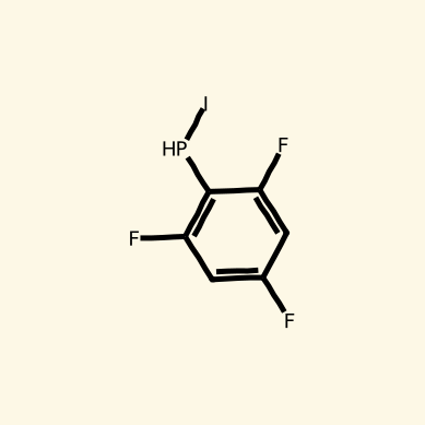 Fc1cc(F)c(PI)c(F)c1